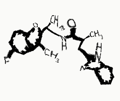 Cc1c([C@@H](C)NC(=O)[C@@H](C)Cc2nc3ccccc3[nH]2)oc2ccc(F)cc12